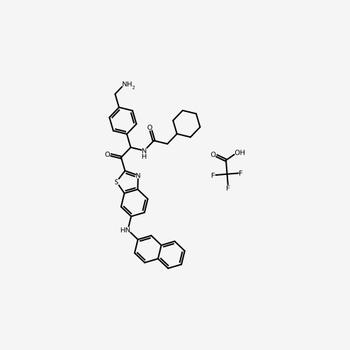 NCc1ccc(C(NC(=O)CC2CCCCC2)C(=O)c2nc3ccc(Nc4ccc5ccccc5c4)cc3s2)cc1.O=C(O)C(F)(F)F